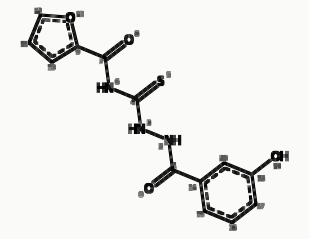 O=C(NNC(=S)NC(=O)c1ccco1)c1cccc(O)c1